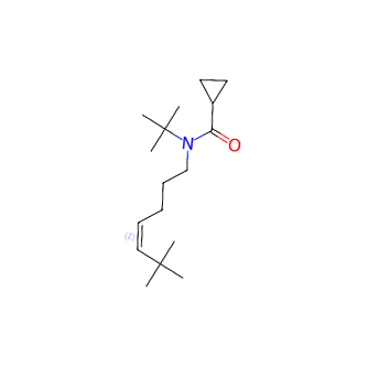 CC(C)(C)/C=C\CCCN(C(=O)C1CC1)C(C)(C)C